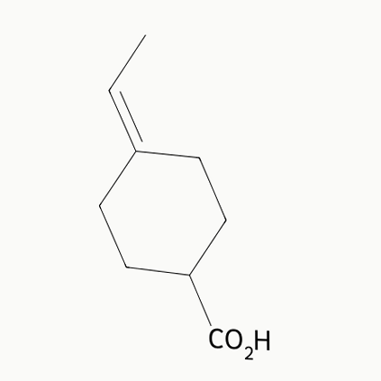 CC=C1CCC(C(=O)O)CC1